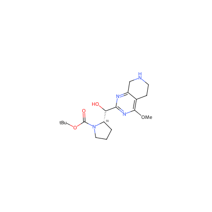 COc1nc(C(O)[C@@H]2CCCN2C(=O)OC(C)(C)C)nc2c1CCNC2